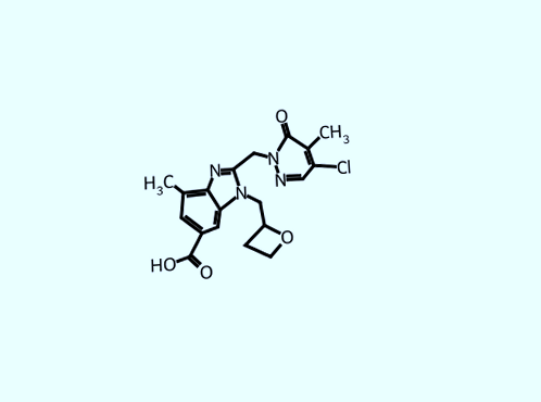 Cc1c(Cl)cnn(Cc2nc3c(C)cc(C(=O)O)cc3n2CC2CCO2)c1=O